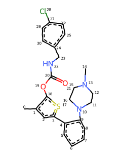 Cc1cc(-c2ccccc2N2CCN(C)CC2)sc1OC(=O)NCc1ccc(Cl)cc1